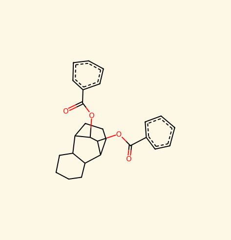 O=C(OC1C2CCCC(C3CCCCC32)C1OC(=O)c1ccccc1)c1ccccc1